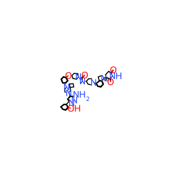 CN(C(=O)N1CCC(Oc2cccc(N3CCN(c4cc(-c5ccccc5O)nnc4N)CC34CCC4)c2)CC1)C1CCN(c2cccc3c2CCN3[C@@]2(C)CCC(=O)NC2=O)CC1